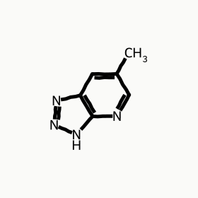 Cc1cnc2[nH]nnc2c1